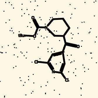 CC(C)(C)OC(=O)N1CCCC(C(=O)c2cc(Cl)nc(Cl)c2)C1